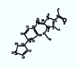 CCn1c(C)c(C(C)=O)sc1=Nc1ccc(-c2ccsc2)cc1